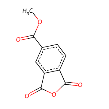 COC(=O)c1ccc2c(c1)C(=O)OC2=O